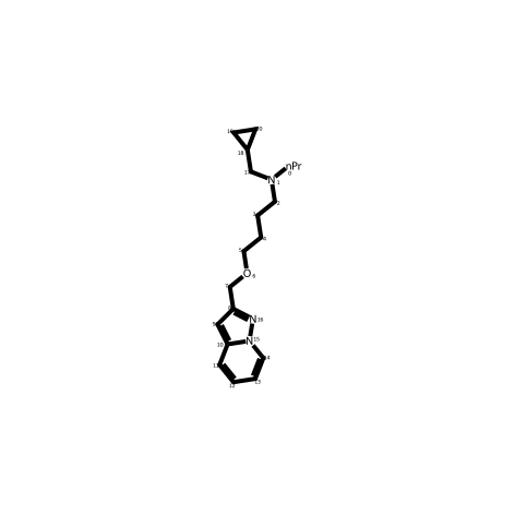 CCCN(CCCCOCc1cc2ccccn2n1)CC1CC1